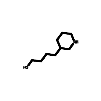 OCCCCC1CCCNC1